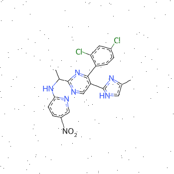 [CH2]C(Nc1ccc([N+](=O)[O-])cn1)c1ncc(-c2nc(C)c[nH]2)c(-c2ccc(Cl)cc2Cl)n1